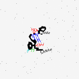 CNC[C@@H](NC(=O)N1CCCC([C@@](O)(CCCCOC)c2cccc(F)c2Cl)C1)[C@@H](O)C1CCCCC1